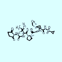 CC[C@@H]1C[C@]1(NC(=O)[C@@H]1CCCN1C(=O)[C@@H](NC(=O)ON1C(=O)CCC1=O)C(C)(C)C)C(=O)NS(=O)(=O)C1CC1